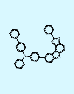 c1ccc(-c2ccc(N(c3ccccc3)c3ccc(-c4ccc5oc6ccc7oc(-c8ccccc8)nc7c6c5c4)cc3)cc2)cc1